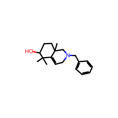 CC12CCC(O)C(C)(C)C1=CCN(Cc1ccccc1)C2